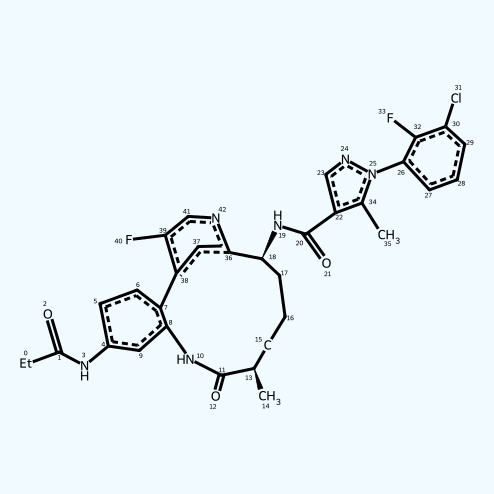 CCC(=O)Nc1ccc2c(c1)NC(=O)[C@H](C)CCC[C@H](NC(=O)c1cnn(-c3cccc(Cl)c3F)c1C)c1cc-2c(F)cn1